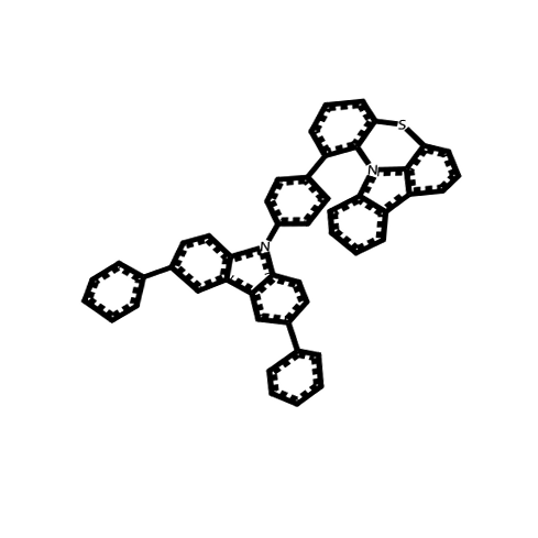 c1ccc(-c2ccc3c(c2)c2cc(-c4ccccc4)ccc2n3-c2ccc(-c3cccc4c3-n3c5ccccc5c5cccc(c53)S4)cc2)cc1